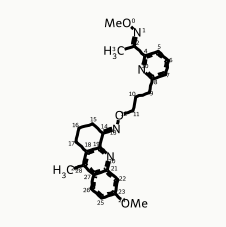 CO/N=C(\C)c1cccc(CCCO/N=C2\CCCc3c2nc2cc(OC)ccc2c3C)n1